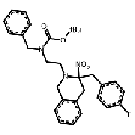 CC(C)(C)OC(=O)N(CCN1Cc2ccccc2CC1(Cc1ccc(F)cc1)[N+](=O)[O-])Cc1ccccc1